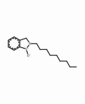 CCCCCCCCCN1Cc2ccccc2[S+]1[O-]